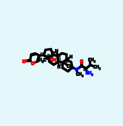 CC(C)[C@@H](N)C(=O)N(C)C1CC[C@@]2(C)[C@H](CC[C@@H]3[C@@H]2CC[C@]2(C)[C@@H](c4ccc(=O)oc4)CC[C@]32O)C1